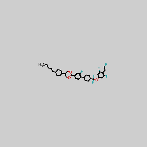 CCCCCC1CCC(C2COC(c3ccc(C4CCC(C(F)(F)Oc5cc(F)c(CCF)c(F)c5)CC4)c(F)c3)OC2)CC1